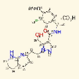 COc1ccc(C(CC(=O)O)NC(=O)c2cnn(CCc3ccc4c(n3)NCCC4)c2CO)cc1F